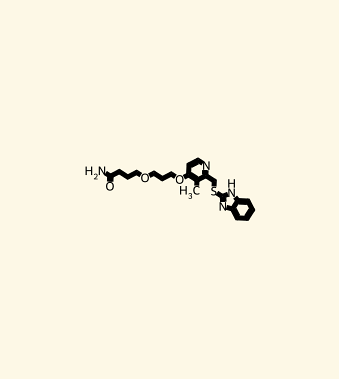 Cc1c(OCCCOCCCC(N)=O)ccnc1CSc1nc2ccccc2[nH]1